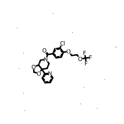 O=C(c1ccc(OCCOC(F)(F)F)c(Cl)c1)N1CCC2(c3ccccn3)OCOC2C1